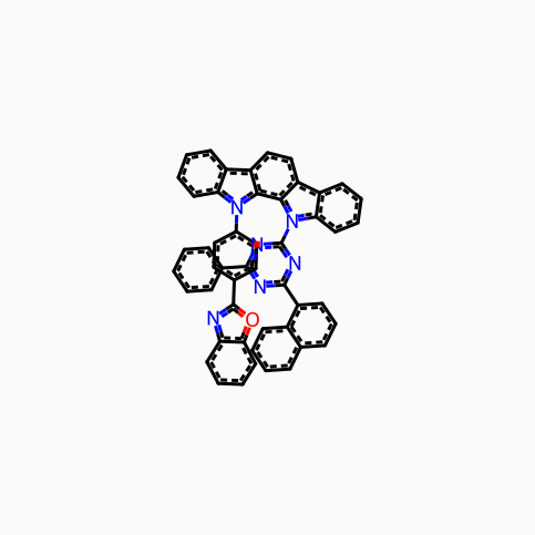 c1ccc(-c2nc(-c3cccc4ccccc34)nc(-n3c4ccccc4c4ccc5c6ccccc6n(-c6ccc(-c7nc8ccccc8o7)cc6)c5c43)n2)cc1